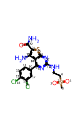 CS(=O)(=O)CCNc1nc(-c2ccc(Cl)c(Cl)c2)c2c(N)c(C(N)=O)sc2n1